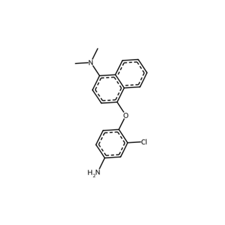 CN(C)c1ccc(Oc2ccc(N)cc2Cl)c2ccccc12